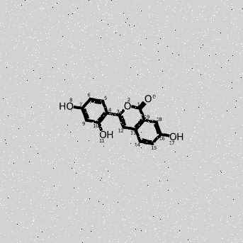 O=c1oc(-c2ccc(O)cc2O)cc2ccc(O)cc12